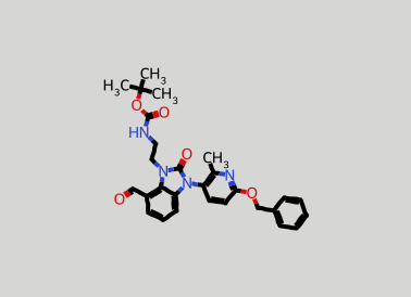 Cc1nc(OCc2ccccc2)ccc1-n1c(=O)n(CCNC(=O)OC(C)(C)C)c2c(C=O)cccc21